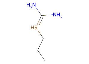 CCC[SH]=C(N)N